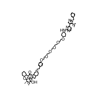 C[C@@H](C(=O)N[C@H](C(=O)N1CCC2CCN(CCc3ccc(OCCOCCOCCOCCOCCO[C@H]4CC[C@H](Nc5nccc(-c6cnn(Cc7ccccc7)c6N(C)C)n5)CC4)cc3)CC21)C1CCCCC1)N(C)C(=O)O